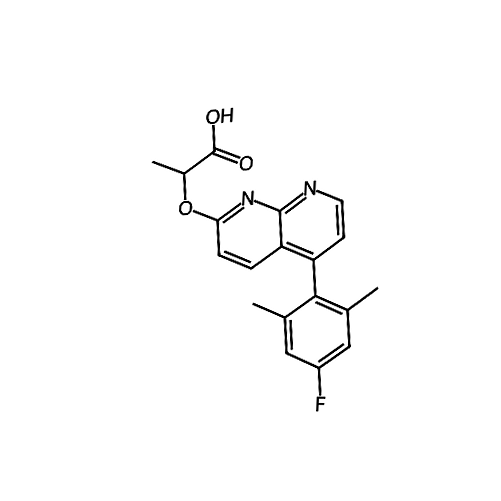 Cc1cc(F)cc(C)c1-c1ccnc2nc(OC(C)C(=O)O)ccc12